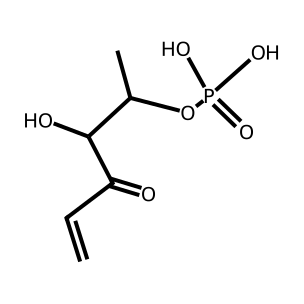 C=CC(=O)C(O)C(C)OP(=O)(O)O